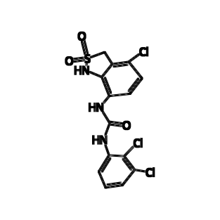 O=C(Nc1cccc(Cl)c1Cl)Nc1ccc(Cl)c2c1NS(=O)(=O)C2